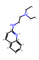 CCN(CC)CCNc1c[c]c2ccccc2n1